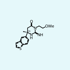 COCCN1C(=N)N[C@](C)(c2ccc3sccc3c2)CC1=O